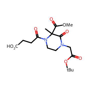 COC(=O)C1(C)C(=O)N(CC(=O)OC(C)(C)C)CCN1C(=O)CCC(=O)O